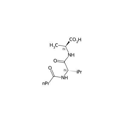 CCCC(=O)N[C@H](C(=O)N[C@@H](C)C(=O)O)C(C)C